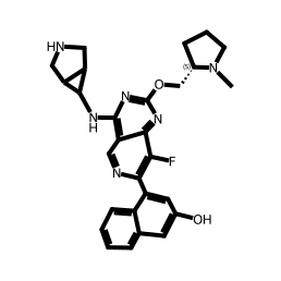 CN1CCC[C@H]1COc1nc(NC2C3CNCC32)c2cnc(-c3cc(O)cc4ccccc34)c(F)c2n1